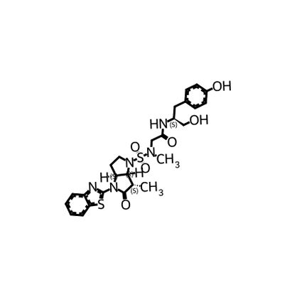 C[C@@H]1C(=O)N(c2nc3ccccc3s2)[C@H]2CCN(S(=O)(=O)N(C)CC(=O)N[C@H](CO)Cc3ccc(O)cc3)[C@H]12